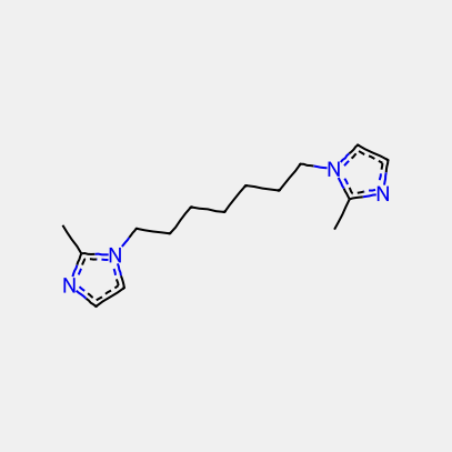 Cc1nccn1CCCCCCCn1ccnc1C